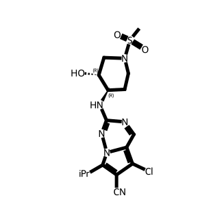 CC(C)c1c(C#N)c(Cl)c2cnc(N[C@@H]3CCN(S(C)(=O)=O)C[C@H]3O)nn12